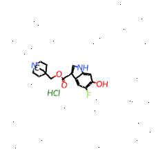 Cl.O=C(OCC12CCN(CC1)CC2)c1c[nH]c2cc(O)c(F)cc12